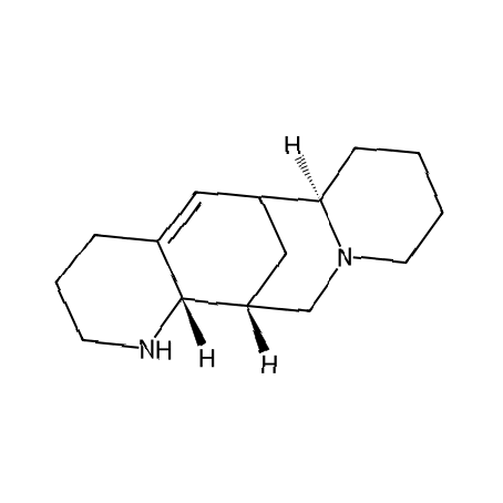 C1=C2CCCN[C@H]2[C@@H]2CC1[C@H]1CCCCN1C2